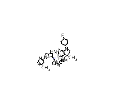 C/C=C1/C(Nc2nc(NC)c3c(n2)N(c2ccc(F)cc2)CCC3(C)C)C2CN(c3cc(C)ncn3)C12